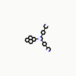 c1cncc(-c2ccc(-c3cc(-c4ccc(-c5ccncc5)cc4)nc(-c4cc5ccc6cccc7ccc(c4)c5c67)n3)cc2)c1